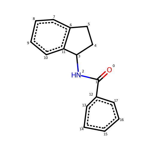 O=C(NC1CCc2ccccc21)c1c[c]ccc1